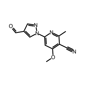 COc1cc(-n2cc(C=O)cn2)nc(C)c1C#N